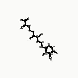 C=C(C)C(=O)OCCC(F)C(F)CCSc1ncc(C)c(=O)n1C